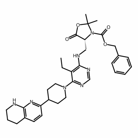 CCc1c(NC[C@@H]2C(=O)OC(C)(C)N2C(=O)OCc2ccccc2)ncnc1N1CCC(c2ccc3c(n2)NCCC3)CC1